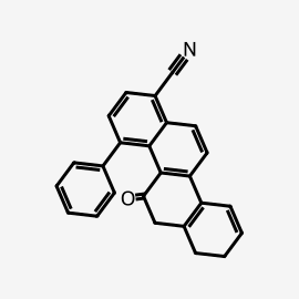 N#Cc1ccc(-c2ccccc2)c2c3c(ccc12)C1=C(CCC=C1)CC3=O